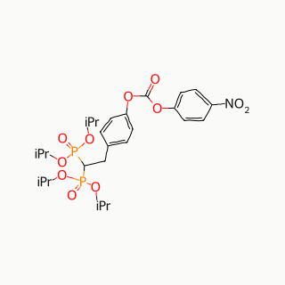 CC(C)OP(=O)(OC(C)C)C(Cc1ccc(OC(=O)Oc2ccc([N+](=O)[O-])cc2)cc1)P(=O)(OC(C)C)OC(C)C